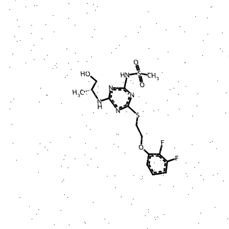 C[C@H](CO)Nc1nc(NS(C)(=O)=O)nc(SCCOc2cccc(F)c2F)n1